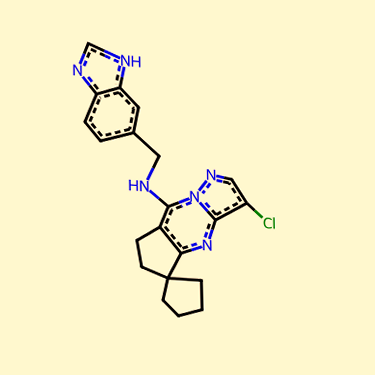 Clc1cnn2c(NCc3ccc4nc[nH]c4c3)c3c(nc12)C1(CCCC1)CC3